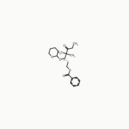 CCC(=O)C(C)(C)[C@H](CCOC(=O)c1ccccc1)OC1CCCCO1